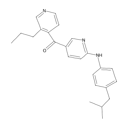 CCCc1cnccc1C(=O)c1ccc(Nc2ccc(CC(C)C)cc2)nc1